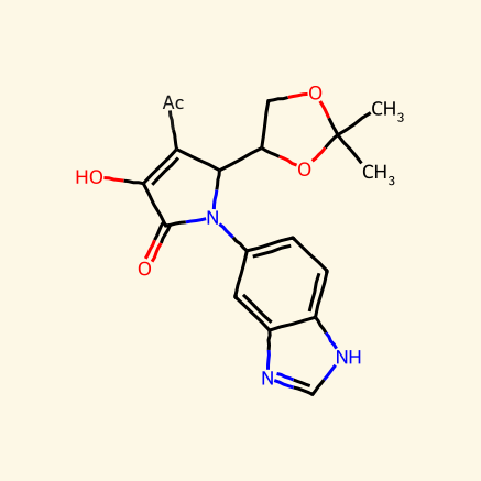 CC(=O)C1=C(O)C(=O)N(c2ccc3[nH]cnc3c2)C1C1COC(C)(C)O1